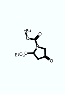 CCOC(=O)C1CC(=O)CN1C(=O)OC(C)(C)C